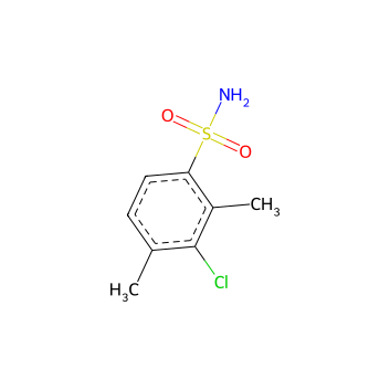 Cc1ccc(S(N)(=O)=O)c(C)c1Cl